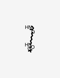 CC(C)(C)OC(=O)NCCCCCCO[C@H]1CCNC1